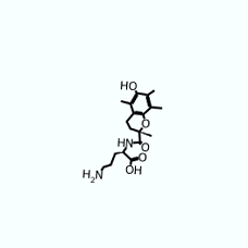 Cc1c(C)c2c(c(C)c1O)CC[C@@](C)(C(=O)N[C@H](CCCN)C(=O)O)O2